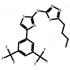 CCCCc1nnc(Sc2nc(-c3cc(C(F)(F)F)cc(C(F)(F)F)c3)cs2)s1